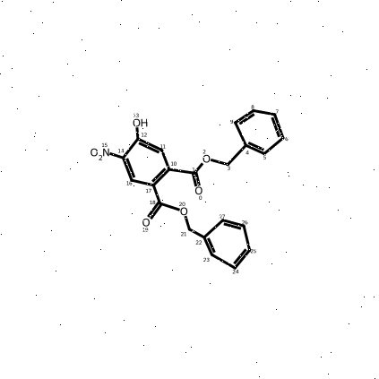 O=C(OCc1ccccc1)c1cc(O)c([N+](=O)[O-])cc1C(=O)OCc1ccccc1